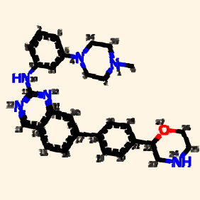 CN1CCN(c2cccc(Nc3ncc4ccc(-c5ccc(C6CNCCO6)cc5)cc4n3)c2)CC1